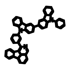 c1ccc(-n2c3ccccc3c3cc(-c4ccc5c(c4)c4ccccc4n5-c4cccc(-c5ncc6cccc7c6c5-c5ccccc5-7)c4)ccc32)cc1